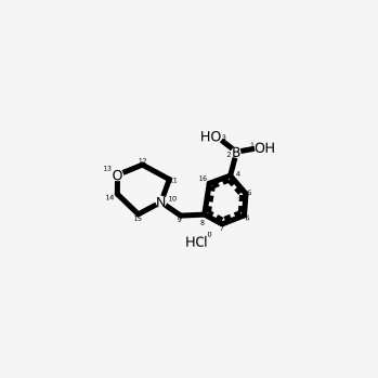 Cl.OB(O)c1cccc(CN2CCOCC2)c1